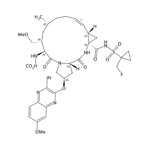 COC[C@@H]1C[C@H](C)CC/C=C\[C@@H]2C[C@@]2(C(=O)NS(=O)(=O)C2(CF)CC2)NC(=O)[C@@H]2C[C@@H](Oc3nc4cc(OC)ccc4nc3C(C)C)CN2C(=O)[C@H]1NC(=O)O